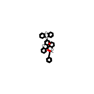 C1=CC2=C(CC1)OC1=C(CCC=C1)N2C1=CC2OC3=CCCC=C3C3(C2C=C1)C1C=CC(c2ccccc2)=CC1OC1CCC=CC13